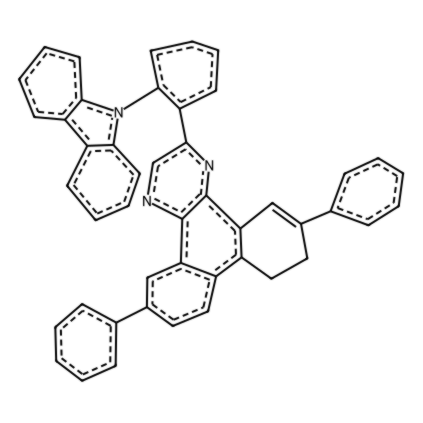 C1=C(c2ccccc2)CCc2c1c1nc(-c3ccccc3-n3c4ccccc4c4ccccc43)cnc1c1cc(-c3ccccc3)ccc21